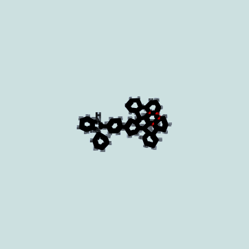 C1=CCC(C2CC=CC=C2C2=C3C=C(c4ccc(C5Nc6ccccc6N5c5ccccc5)cc4)C=CC3C(C3CC=CC=C3c3ccccc3)c3ccccc32)C=C1